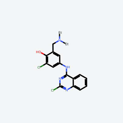 CCN(CC)Cc1cc(Nc2nc(Cl)nc3ccccc23)cc(Cl)c1O